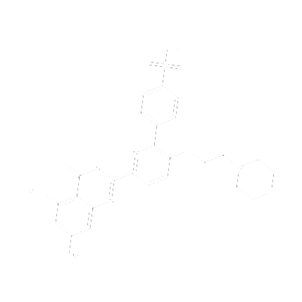 COc1cc(OC)c2c(=O)[nH]c(-c3ccc(OCCN4CCOCC4)c(-c4ccc(S(C)(=O)=O)cc4)n3)nc2c1